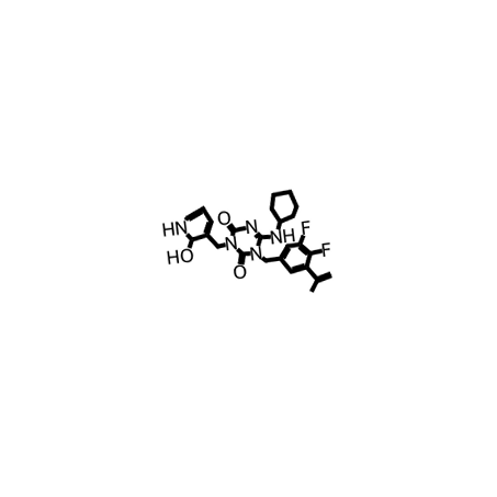 C=C(C)c1cc(Cn2c(NC3CCCCC3)nc(=O)n(CC3=CC=CNC3O)c2=O)cc(F)c1F